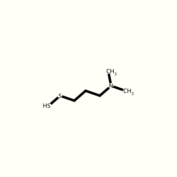 CN(C)CCCSS